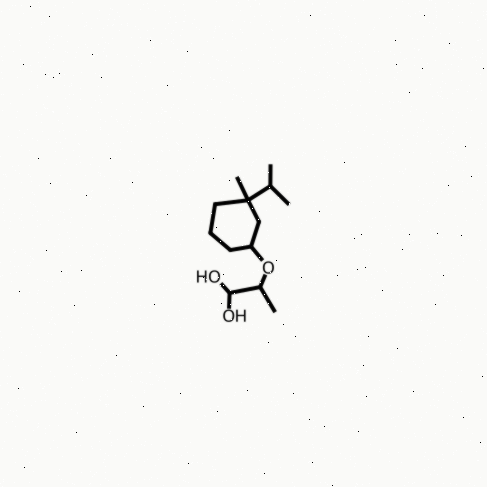 CC(OC1CCCC(C)(C(C)C)C1)C(O)O